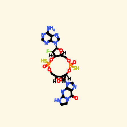 Nc1ncnc2c1ncn2[C@@H]1O[C@@H]2COP(=O)(S)O[C@@H]3[C@H](O)[C@@H](COP(=O)(S)O[C@H]2[C@@H]1F)O[C@H]3n1cnc2c(=O)n3cc[nH]c3nc21